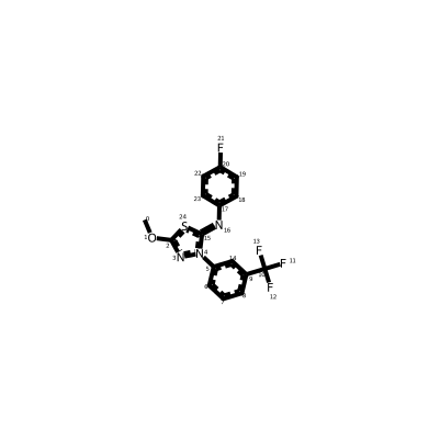 COc1nn(-c2cccc(C(F)(F)F)c2)c(=Nc2ccc(F)cc2)s1